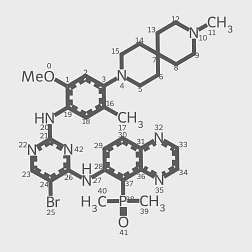 COc1cc(N2CCC3(CCN(C)CC3)CC2)c(C)cc1Nc1ncc(Br)c(Nc2ccc3nccnc3c2P(C)(C)=O)n1